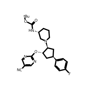 CC(C)(C)OC(=O)N[C@@H]1CCCN([C@H]2C[C@@H](c3ccc(F)cc3)C[C@@H]2Oc2ncc(C#N)cn2)C1